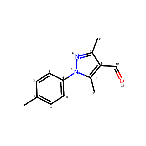 Cc1ccc(-n2nc(C)c(C=O)c2C)cc1